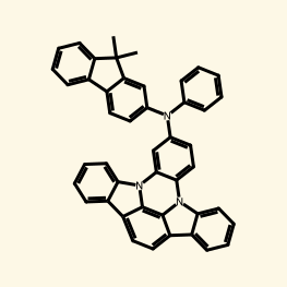 CC1(C)c2ccccc2-c2ccc(N(c3ccccc3)c3ccc4c(c3)n3c5ccccc5c5ccc6c7ccccc7n4c6c53)cc21